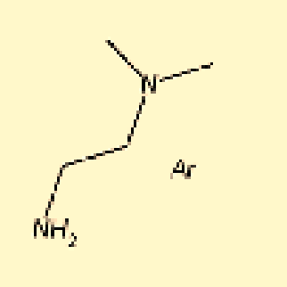 CN(C)CCN.[Ar]